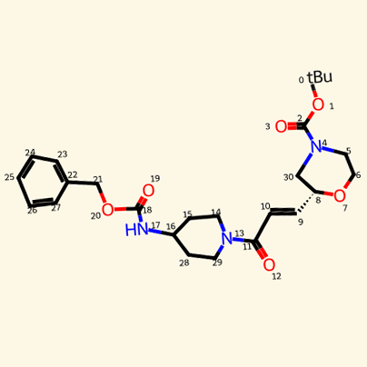 CC(C)(C)OC(=O)N1CCO[C@H](/C=C/C(=O)N2CCC(NC(=O)OCc3ccccc3)CC2)C1